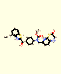 COc1cccc2sc(C(=O)[C@H]3CC[C@H](N(Cc4ccc5c(n4)SC(=O)CN5)C(=O)OC(C)(C)C)CC3)nc12